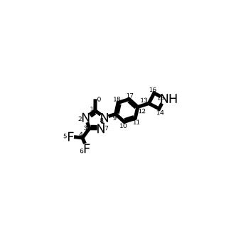 Cc1nc(C(F)F)nn1-c1ccc(C2CNC2)cc1